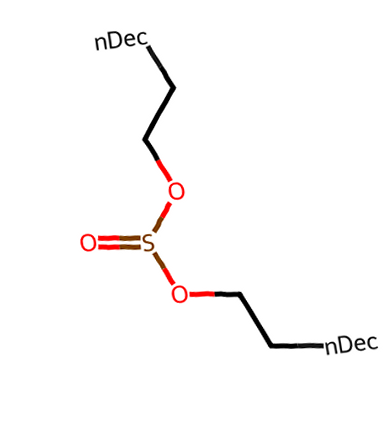 CCCCCCCCCCCCOS(=O)OCCCCCCCCCCCC